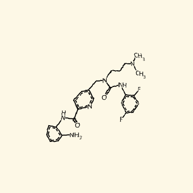 CN(C)CCCN(Cc1ccc(C(=O)Nc2ccccc2N)nc1)C(=O)Nc1cc(F)ccc1F